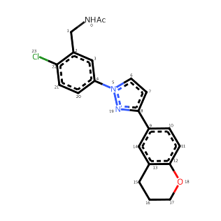 CC(=O)NCc1cc(-n2ccc(-c3ccc4c(c3)CCCO4)n2)ccc1Cl